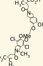 COc1cc2c(cc1OCCCOc1c(Cl)c3c(c(Cl)c1OC)CN(C(=O)CC(C)C(=O)O)C3C)CN(C(=O)CC(C)C(=O)O)C2